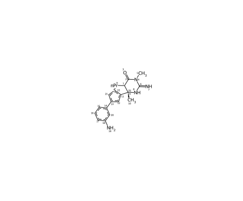 CCCC1C(=O)N(C)C(=N)N[C@]1(C)c1cc(-c2cccc(N)c2)cs1